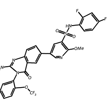 COc1ncc(-c2ccc3nc(N)n(-c4ccccc4OC(F)(F)F)c(=O)c3c2)cc1S(=O)(=O)Nc1ccc(F)cc1F